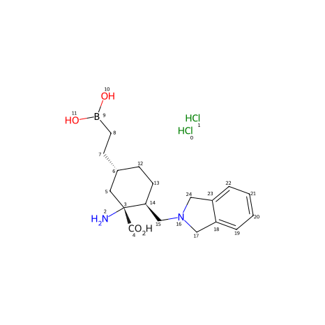 Cl.Cl.N[C@]1(C(=O)O)C[C@H](CCB(O)O)CC[C@H]1CN1Cc2ccccc2C1